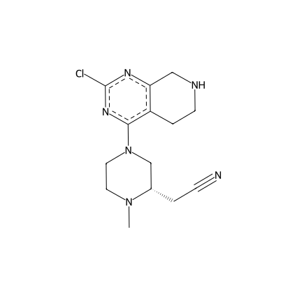 CN1CCN(c2nc(Cl)nc3c2CCNC3)C[C@@H]1CC#N